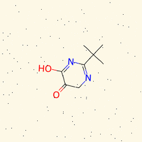 CC(C)(C)C1=NCC(=O)C(O)=N1